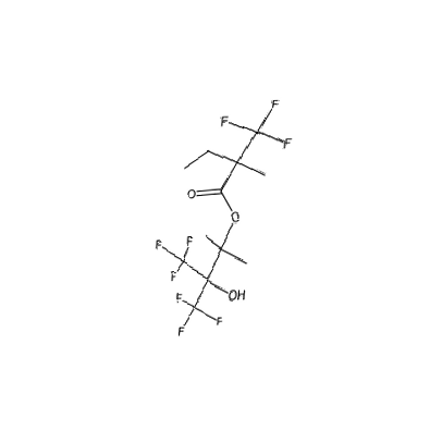 CCC(C)(C(=O)OC(C)(C)C(O)(C(F)(F)F)C(F)(F)F)C(F)(F)F